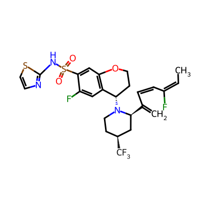 C=C(/C=C\C(F)=C/C)[C@H]1C[C@@H](C(F)(F)F)CCN1[C@H]1CCOc2cc(S(=O)(=O)Nc3nccs3)c(F)cc21